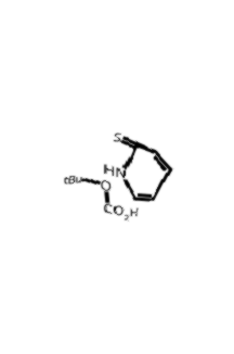 CC(C)(C)OC(=O)O.S=c1cccc[nH]1